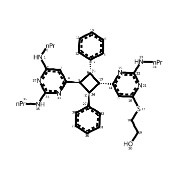 CCCNc1cc([C@H]2[C@H](c3ccccc3)[C@H](c3cc(SCCO)nc(NCCC)n3)[C@H]2c2ccccc2)nc(NCCC)n1